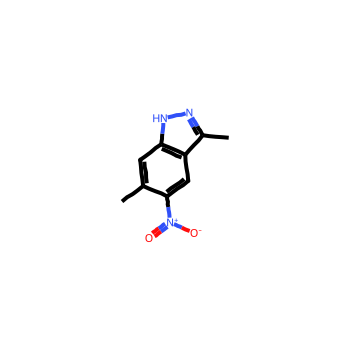 Cc1cc2[nH]nc(C)c2cc1[N+](=O)[O-]